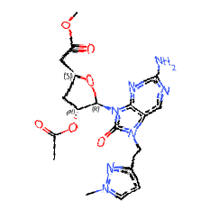 COC(=O)C[C@@H]1C[C@@H](OC(C)=O)[C@H](n2c(=O)n(Cc3ccn(C)n3)c3cnc(N)nc32)O1